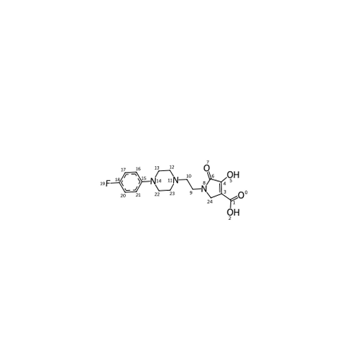 O=C(O)C1=C(O)C(=O)N(CCN2CCN(c3ccc(F)cc3)CC2)C1